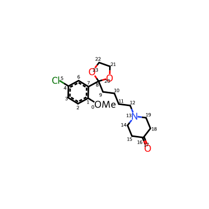 COc1ccc(Cl)cc1C1(CCCCN2CCC(=O)CC2)OCCO1